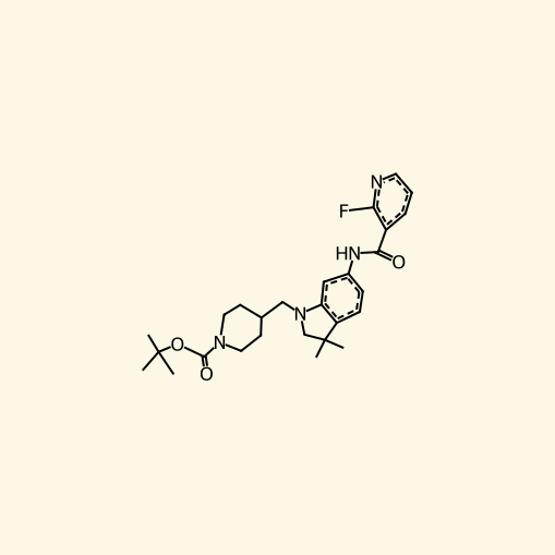 CC(C)(C)OC(=O)N1CCC(CN2CC(C)(C)c3ccc(NC(=O)c4cccnc4F)cc32)CC1